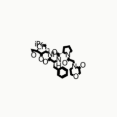 CC(C)C[C@H](NC(=O)[C@H](Cc1ccccc1)NC(=O)[C@@H]1CCCN1C(=O)CN1CCOCC1=O)C(=O)[C@@]1(C)CO1